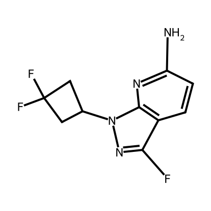 Nc1ccc2c(F)nn(C3CC(F)(F)C3)c2n1